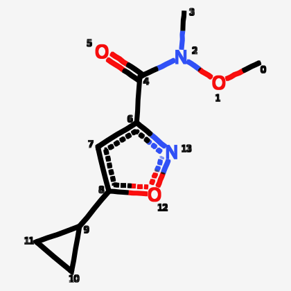 CON(C)C(=O)c1cc(C2CC2)on1